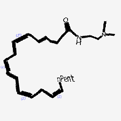 CCCCC/C=C\C/C=C\C/C=C\C/C=C\CCCC(=O)NCCN(C)C